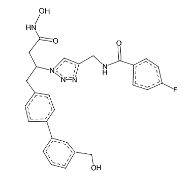 O=C(CC(Cc1ccc(-c2cccc(CO)c2)cc1)n1cc(CNC(=O)c2ccc(F)cc2)nn1)NO